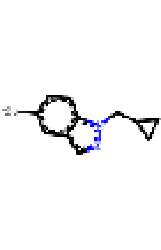 CC(C)(C)c1ccc2c(cnn2CC2CC2)c1